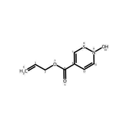 C=CCOC(=O)C1=CSN(O)C=C1